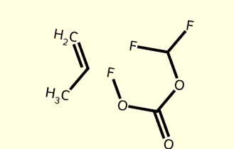 C=CC.O=C(OF)OC(F)F